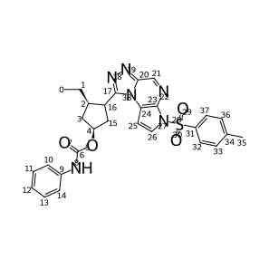 CC[C@@H]1C[C@H](OC(=O)Nc2ccccc2)CC1c1nnc2cnc3c(ccn3S(=O)(=O)c3ccc(C)cc3)n12